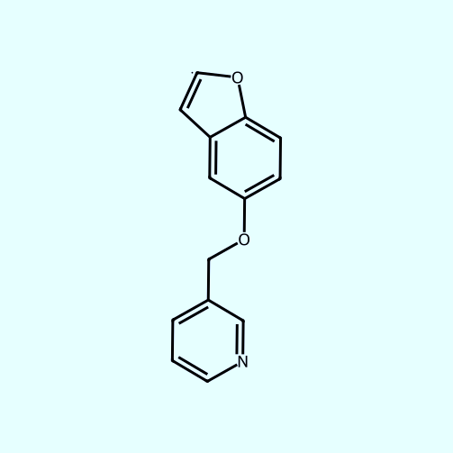 [c]1cc2cc(OCc3cccnc3)ccc2o1